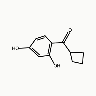 O=C(c1ccc(O)cc1O)C1CCC1